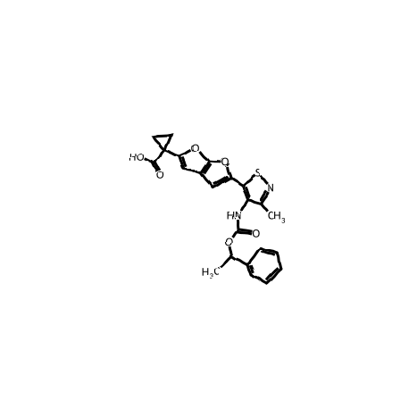 Cc1nsc(-c2cc3cc(C4(C(=O)O)CC4)oc3o2)c1NC(=O)OC(C)c1ccccc1